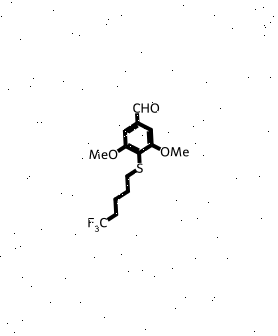 COc1cc(C=O)cc(OC)c1SCCCCC(F)(F)F